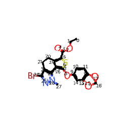 CCOC(=O)c1sc(Oc2ccc3c(c2)OCO3)c2c1CCc1c(Br)nn(C)c1-2